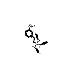 C#CO[Si](CCc1cccc(OC)c1)(OC#C)OC#C